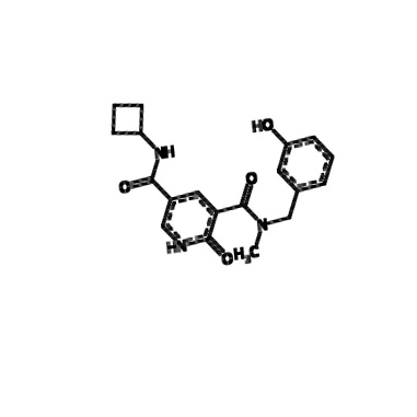 CN(Cc1cccc(O)c1)C(=O)c1cc(C(=O)NC2CCC2)c[nH]c1=O